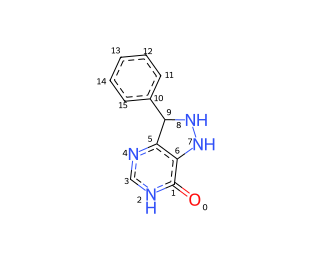 O=c1[nH]cnc2c1NNC2c1ccccc1